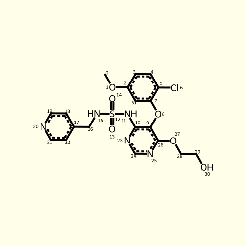 COc1ccc(Cl)c(Oc2c(NS(=O)(=O)NCc3ccncc3)ncnc2OCCO)c1